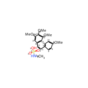 CNS(=O)(=O)O.COc1ccc(/C=C\c2cc(OC)c(OC)c(OC)c2)cc1